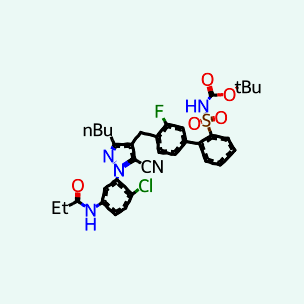 CCCCc1nn(-c2cc(NC(=O)CC)ccc2Cl)c(C#N)c1Cc1ccc(-c2ccccc2S(=O)(=O)NC(=O)OC(C)(C)C)cc1F